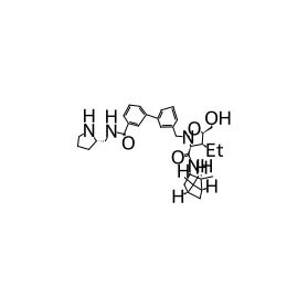 CC[C@@H]1[C@H](CO)ON(Cc2cccc(-c3cccc(C(=O)NC[C@@H]4CCCN4)c3)c2)[C@@H]1C(=O)N[C@H]1C[C@H]2C[C@@H]([C@@H]1C)C2(C)C